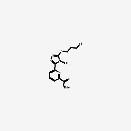 CNC(=O)c1cccc(-c2nnc(SCCCCl)n2C)n1